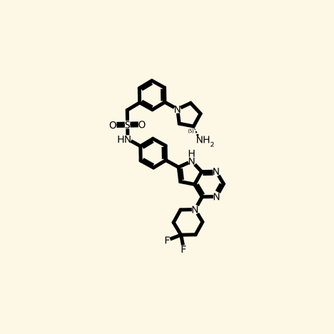 N[C@H]1CCN(c2cccc(CS(=O)(=O)Nc3ccc(-c4cc5c(N6CCC(F)(F)CC6)ncnc5[nH]4)cc3)c2)C1